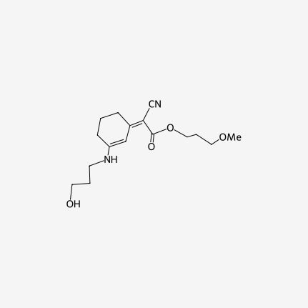 COCCCOC(=O)/C(C#N)=C1\C=C(NCCCO)CCC1